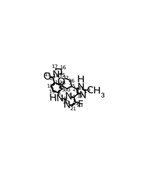 Cc1nc(-c2nc(Nc3ccc(C(=O)N4CCC4)cc3)ncc2F)c(C2CCOCC2)[nH]1